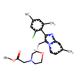 Cc1ccn2c(C[C@H]3CN(CC(=O)OC(C)(C)C)CCO3)c(-c3c(C)cc(C#N)cc3F)nc2c1